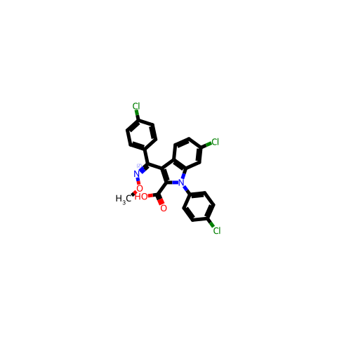 CO/N=C(/c1ccc(Cl)cc1)c1c(C(=O)O)n(-c2ccc(Cl)cc2)c2cc(Cl)ccc12